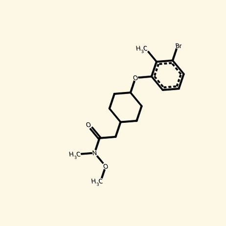 CON(C)C(=O)CC1CCC(Oc2cccc(Br)c2C)CC1